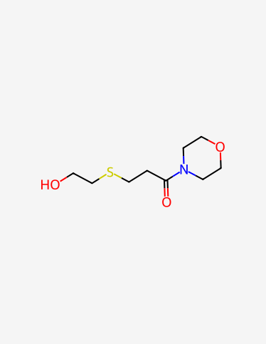 O=C(CCSCCO)N1CCOCC1